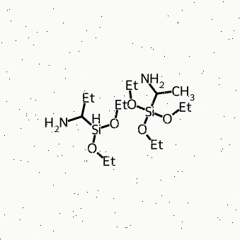 CCO[SiH](OCC)C(N)CC.CCO[Si](OCC)(OCC)C(C)N